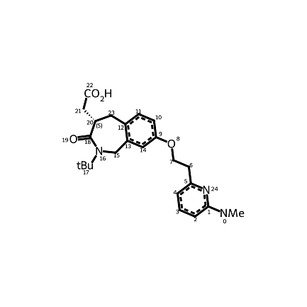 CNc1cccc(CCOc2ccc3c(c2)CN(C(C)(C)C)C(=O)[C@H](CC(=O)O)C3)n1